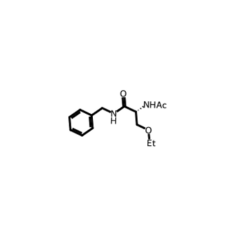 CCOC[C@@H](NC(C)=O)C(=O)NCc1ccccc1